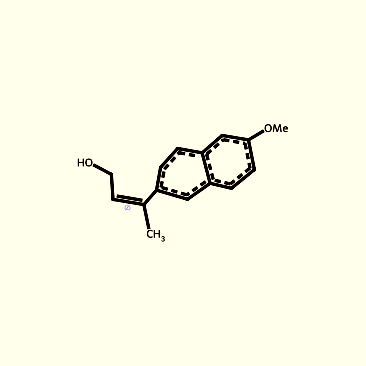 COc1ccc2cc(/C(C)=C\CO)ccc2c1